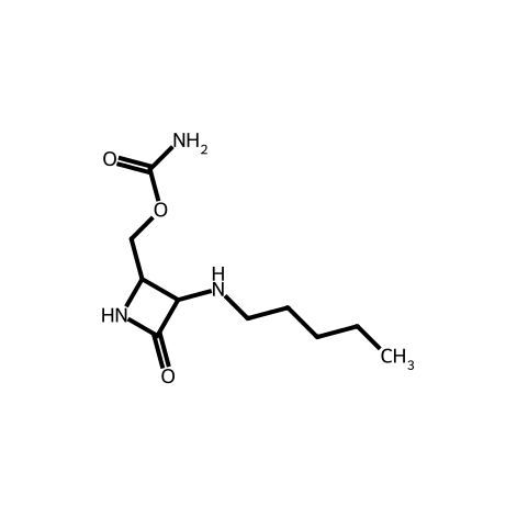 CCCCCNC1C(=O)NC1COC(N)=O